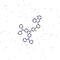 Cc1cc(-n2c3ccc(N(c4ccccc4)c4ccccc4)cc3c3cc(N(c4ccccc4)c4ccccc4)ccc32)ccc1-c1cccc(-c2cc3cccnc3c3ncccc23)c1